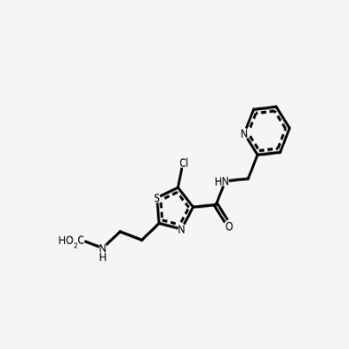 O=C(O)NCCc1nc(C(=O)NCc2ccccn2)c(Cl)s1